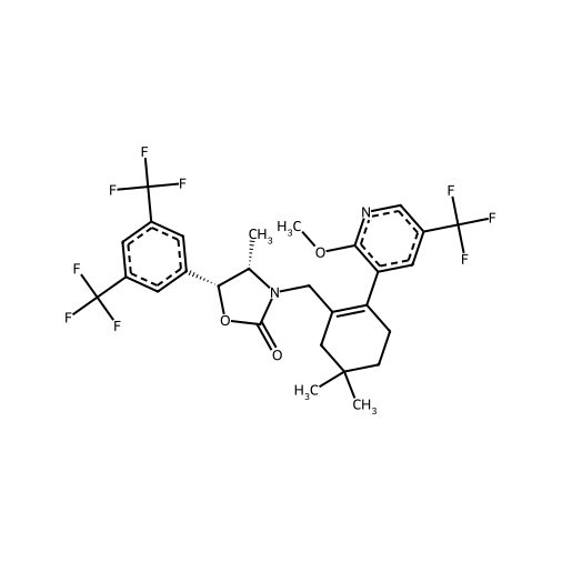 COc1ncc(C(F)(F)F)cc1C1=C(CN2C(=O)O[C@H](c3cc(C(F)(F)F)cc(C(F)(F)F)c3)[C@@H]2C)CC(C)(C)CC1